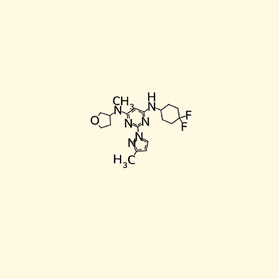 Cc1ccn(-c2nc(NC3CCC(F)(F)CC3)cc(N(C)C3CCOC3)n2)n1